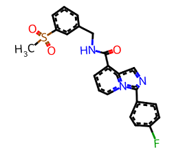 CS(=O)(=O)c1cccc(CNC(=O)c2cccn3c(-c4ccc(F)cc4)ncc23)c1